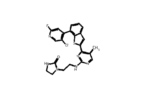 Cc1cnc(NCCN2CCNC2=O)nc1-c1cc2cccc(-c3cc(F)ncc3Cl)c2s1